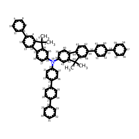 CC1(C)c2cc(-c3ccccc3)ccc2-c2ccc(N(c3ccc(-c4ccc(-c5ccccc5)cc4)cc3)c3ccc4c(c3)C(C)(C)c3cc(-c5ccc(-c6ccccc6)cc5)ccc3-4)cc21